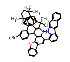 CCCCc1ccc(C2C3=C(B4c5c(cc6c(oc7ccccc76)c52)-c2cccc5c6cc7ccccc7cc6n4c25)C(C)(C)c2cc4c(cc23)C(C)(C)CCC4(C)C)c(-c2ccccc2)c1